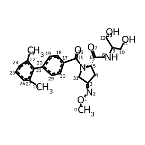 CON=C1C[C@@H](C(=O)NC(CO)CO)N(C(=O)c2ccc(-c3c(C)cccc3C)cc2)C1